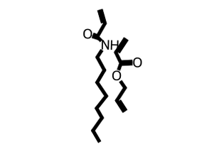 C=CC(=O)NCCCCCCCC.C=CCOC(=O)C=C